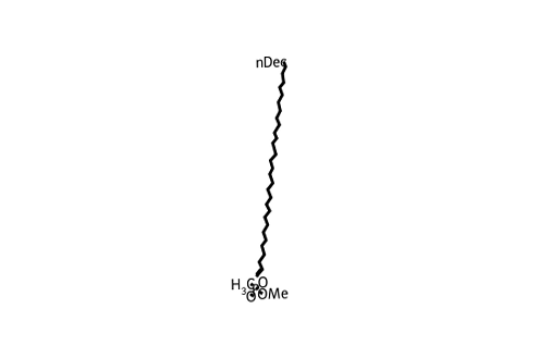 CCCCCCCCCCCCCCCCCCCCCCCCCCCCCCCCCCCCCCC=COP(C)(=O)OC